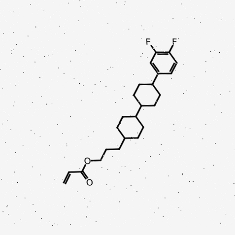 C=CC(=O)OCCCC1CCC(C2CCC(c3ccc(F)c(F)c3)CC2)CC1